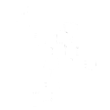 Cc1cc(C)cc(-c2ccc3c(c2)c2ccccc2n3-c2ccc(-c3ccc4oc5ccccc5c4c3)cc2-c2nc(-c3ccccc3)nc(-c3ccccc3)n2)c1